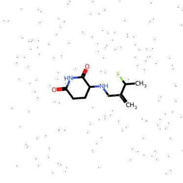 C=C(CNC1CCC(=O)NC1=O)C(C)F